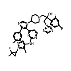 Cc1c(Nc2nccc(-c3c(-c4ccc(F)cc4)ncn3C3CCN(CC(O)(Cn4cncn4)c4ccc(F)cc4F)CC3)n2)cnn1C1CC1(F)F